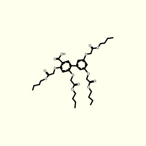 CCCCOC(=O)COc1cc(OCC(=O)OCCCC)cc(-c2cc(C(=O)O)c(OCC(=O)OCCCC)cc2OCC(=O)OCCCC)c1